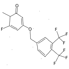 CC1C(=O)C=C(OCc2ccc(C(F)(F)F)c(C(F)(F)F)c2)C=C1F